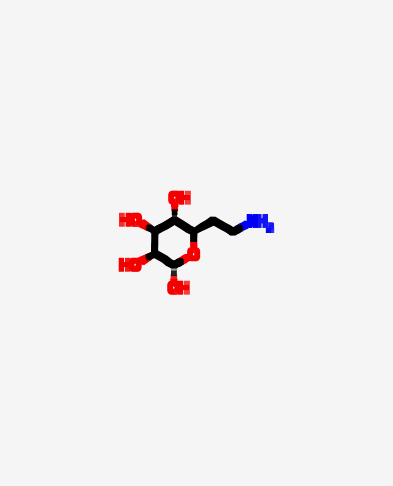 NCC[C@H]1O[C@H](O)[C@@H](O)[C@@H](O)[C@@H]1O